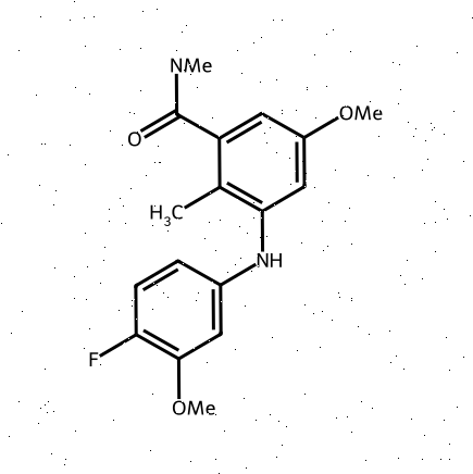 CNC(=O)c1cc(OC)cc(Nc2ccc(F)c(OC)c2)c1C